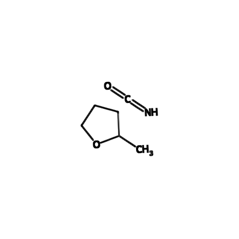 CC1CCCO1.N=C=O